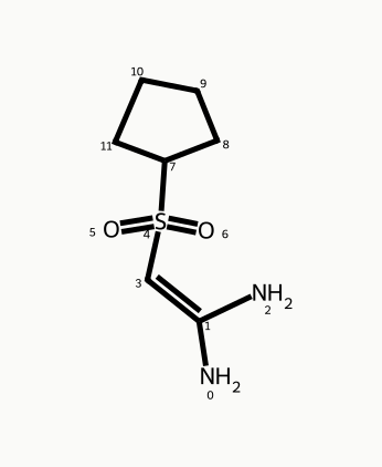 NC(N)=CS(=O)(=O)C1CCCC1